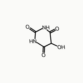 O=C1NC(=O)C(O)C(=O)N1